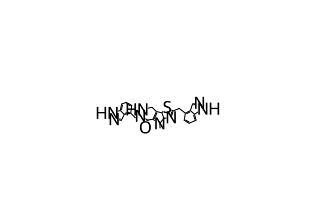 CN1C2=C(CNN(Cc3cccc4[nH]ncc34)C2=O)C2SC(Cc3cccc4[nH]ncc34)=NC21